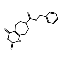 O=C(OCc1ccccc1)N1CCc2[nH]c(=O)[nH]c(=O)c2CC1